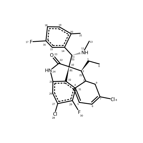 CC[C@@H](C1C=CC=C(Cl)C1)[C@@]1([C@@H](NC)c2cc(F)ccc2C)C(=O)Nc2cc(Cl)c(F)cc21